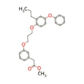 CCCc1cc(Oc2ccccc2)ccc1OCCCOc1cccc(CC(=O)OC)c1